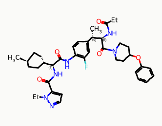 CCC(=O)N[C@@H](C(=O)N1CCC(Oc2ccccc2)CC1)[C@@H](C)c1ccc(NC(=O)[C@@H](NC(=O)c2ccnn2CC)[C@H]2CC[C@H](C)CC2)c(F)c1